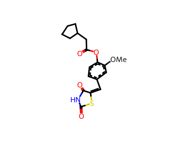 COc1cc(C=C2SC(=O)NC2=O)ccc1OC(=O)CC1CCCC1